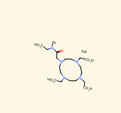 CC(C)N(CC(=O)O)C(=O)CN1CCN(CC(=O)O)CCN(CC(=O)O)CCN(CC(=O)O)CC1.[Gd]